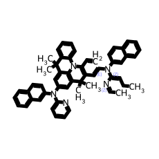 C=CC1=C(/C=C/N(C(=C/CC)/N=C\C)c2ccc3ccccc3c2)C(C)(C)c2cc(N(c3ccc4ccccc4c3)c3ccccn3)cc3c2N1c1ccccc1C3(C)C